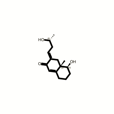 C[C@@H](O)CC=C1C[C@@]2(C)C(=CC1=O)CCC[C@@H]2O